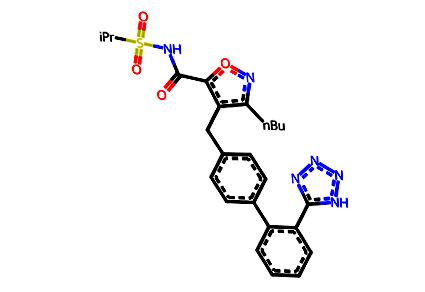 CCCCc1noc(C(=O)NS(=O)(=O)C(C)C)c1Cc1ccc(-c2ccccc2-c2nnn[nH]2)cc1